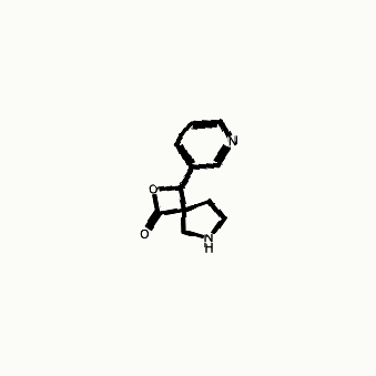 O=C1OC(c2[c]nccc2)C12CCNC2